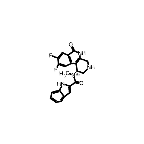 CN(C(=O)c1cc2ccccc2[nH]1)[C@H]1CNCc2[nH]c(=O)c3cc(F)c(F)cc3c21